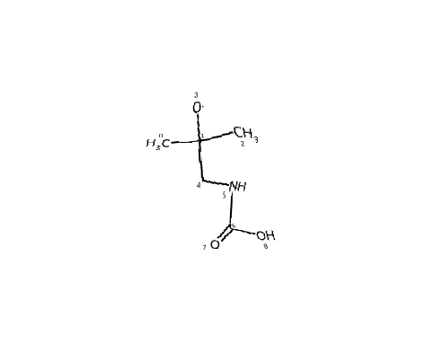 CC(C)([O])CNC(=O)O